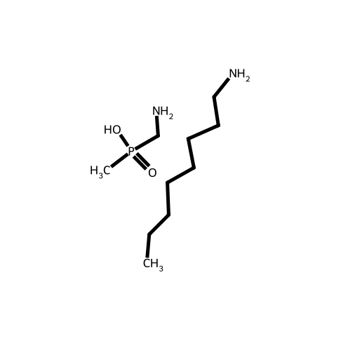 CCCCCCCCN.CP(=O)(O)CN